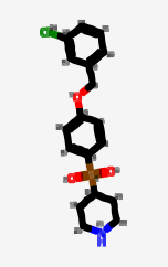 O=S(=O)(c1ccc(OCc2cccc(Cl)c2)cc1)C1CCNCC1